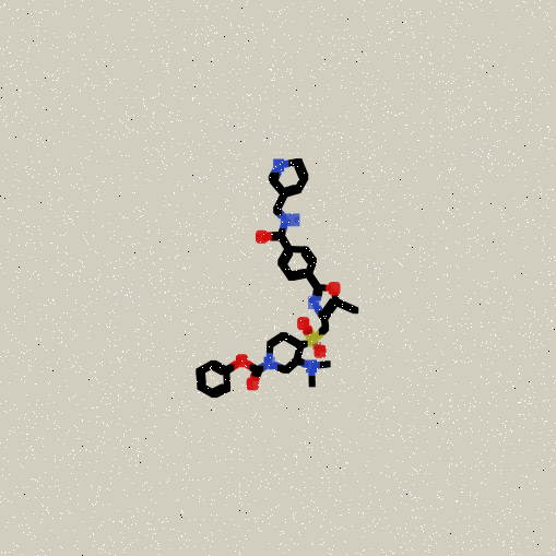 Cc1oc(-c2ccc(C(=O)NCc3cccnc3)cc2)nc1CS(=O)(=O)C1CCN(C(=O)Oc2ccccc2)CC1N(C)C